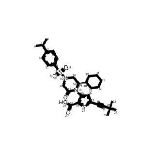 CC(C)c1ccc(S(=O)(=O)N2CC(=O)N(c3cc(C#CC(C)(C)C)sc3C(=O)O)[C@H](C3CCCCC3)C2)cc1